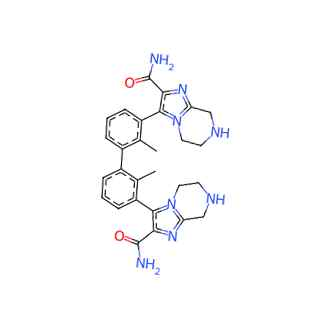 Cc1c(-c2cccc(-c3c(C(N)=O)nc4n3CCNC4)c2C)cccc1-c1c(C(N)=O)nc2n1CCNC2